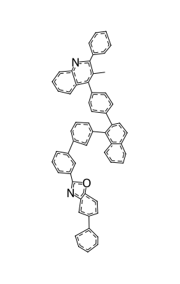 Cc1c(-c2ccccc2)nc2ccccc2c1-c1ccc(-c2ccc3ccccc3c2-c2cccc(-c3cccc(-c4nc5cc(-c6ccccc6)ccc5o4)c3)c2)cc1